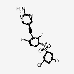 Nc1ncc(C#Cc2c(F)ccc(NS(=O)(=O)c3cc(Cl)cc(Cl)c3)c2F)cn1